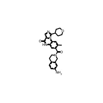 Cc1cc2c(cc1C(=O)N1CCc3ccc(N)cc3C1)[nH]c(=O)c1cnc(C3CCOCC3)n12